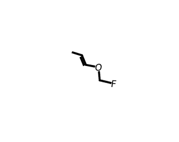 C/C=C/OCF